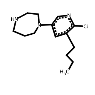 CCCCc1cc(N2CCCNCC2)cnc1Cl